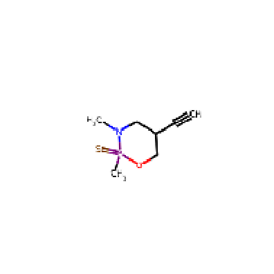 C#CC1COP(C)(=S)N(C)C1